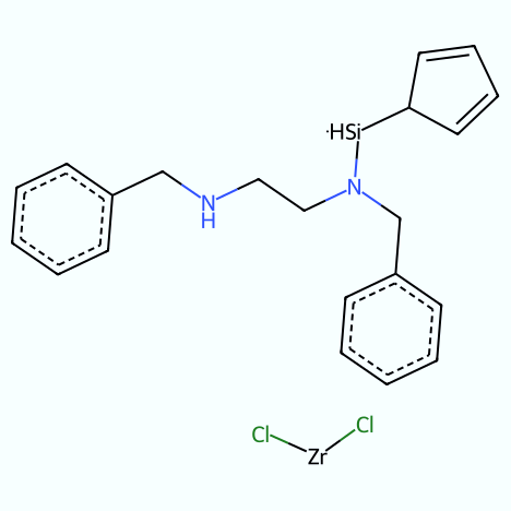 C1=CC([SiH]N(CCNCc2ccccc2)Cc2ccccc2)C=C1.[Cl][Zr][Cl]